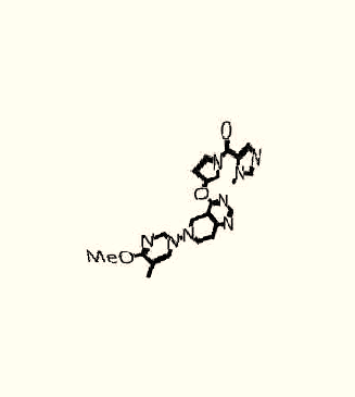 COC1=NCN(N2CCc3ncnc(OC4CCN(C(=O)c5cncn5C)C4)c3C2)C=C1C